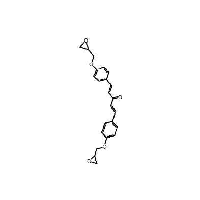 O=C(C=Cc1ccc(OCC2CO2)cc1)C=Cc1ccc(OCC2CO2)cc1